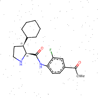 COC(=O)c1ccc(NC(=O)[C@H]2NCC[C@H]2C2CCCCC2)c(F)c1